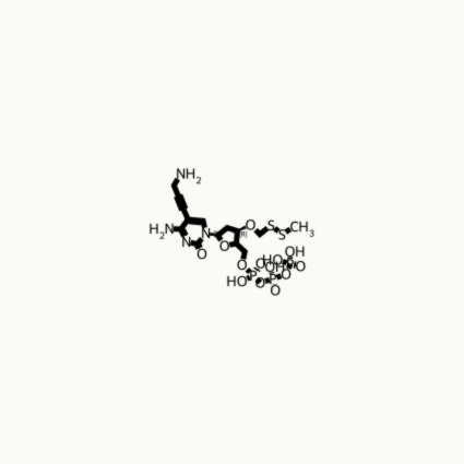 CSSCO[C@@H]1C[C@H](n2cc(C#CCN)c(N)nc2=O)OC1COP(=O)(O)OP(=O)(O)OP(=O)(O)O